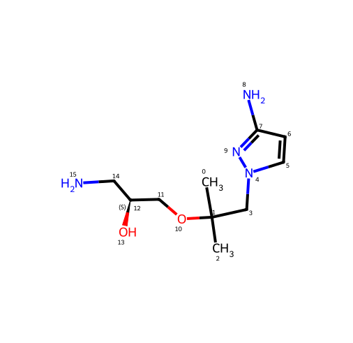 CC(C)(Cn1ccc(N)n1)OC[C@@H](O)CN